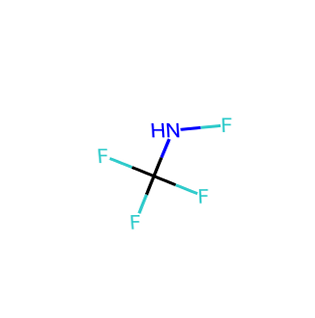 FNC(F)(F)F